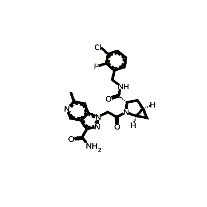 Cc1cc2c(cn1)c(C(N)=O)nn2CC(=O)N1[C@@H]2C[C@@H]2C[C@H]1C(=O)NCc1cccc(Cl)c1F